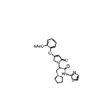 COc1ccccc1OC1=CC(=O)N(C(CC2CCCC2)C(=O)Nc2nccs2)C1